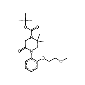 COCCOc1ccccc1N1CC(C)(C)N(C(=O)OC(C)(C)C)CC1=O